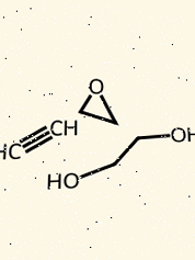 C#C.C1CO1.OCCO